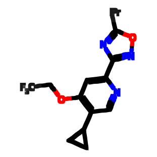 CC(C)c1nc(-c2cc(OCC(F)(F)F)c(C3CC3)cn2)no1